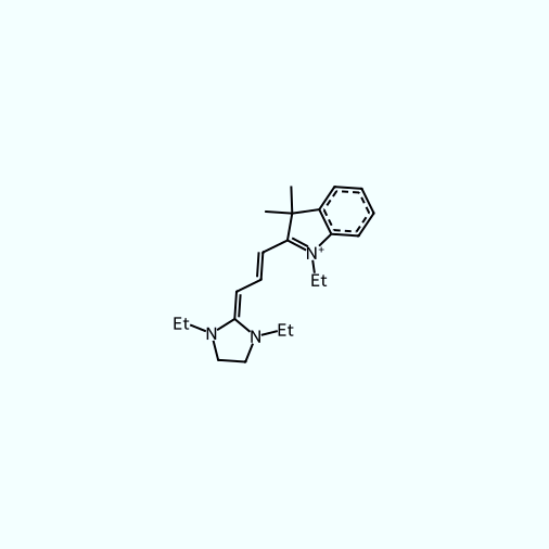 CCN1CCN(CC)C1=C/C=C/C1=[N+](CC)c2ccccc2C1(C)C